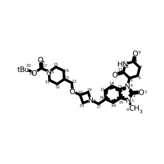 Cn1c(=O)n(C2CCC(=O)NC2=O)c2ccc(CN3CC(OCC4CCN(C(=O)OC(C)(C)C)CC4)C3)cc21